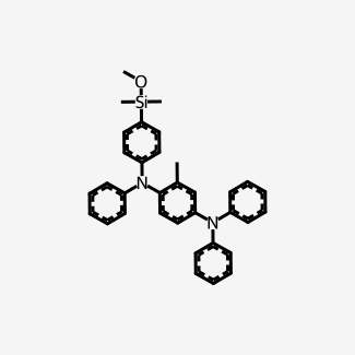 CO[Si](C)(C)c1ccc(N(c2ccccc2)c2ccc(N(c3ccccc3)c3ccccc3)cc2C)cc1